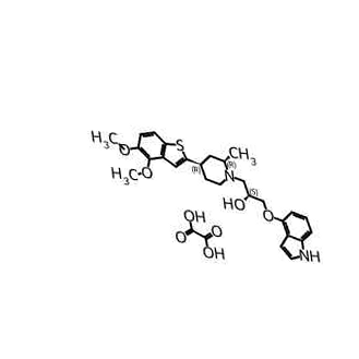 COc1ccc2sc([C@@H]3CCN(C[C@H](O)COc4cccc5[nH]ccc45)[C@H](C)C3)cc2c1OC.O=C(O)C(=O)O